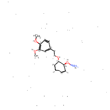 COc1ccc(CCO[C@@H]2CCCC[C@@H]2ON)cc1OC